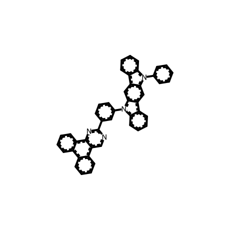 c1ccc(-n2c3ccccc3c3cc4c(cc32)c2ccccc2n4-c2cccc(-c3ncc4c5ccccc5c5ccccc5c4n3)c2)cc1